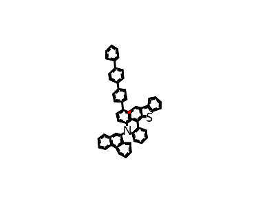 c1ccc(-c2ccc(-c3ccc(-c4ccc(N(c5ccccc5-c5cccc6c5sc5ccccc56)c5cc6ccccc6c6ccccc56)cc4)cc3)cc2)cc1